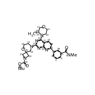 CNC(=O)c1cccc(-c2ccc3c(N4CCOC[C@@H]4C)nc(N4CCOC5(CN(C(=O)OC(C)(C)C)C5)C4)nc3n2)c1